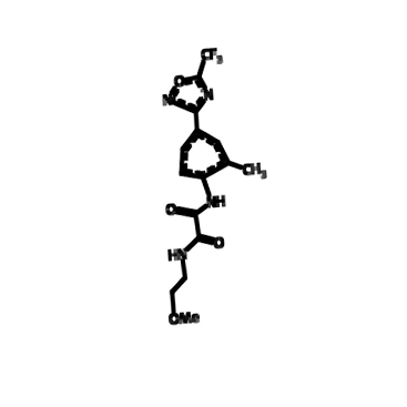 COCCNC(=O)C(=O)Nc1ccc(-c2noc(C(F)(F)F)n2)cc1C